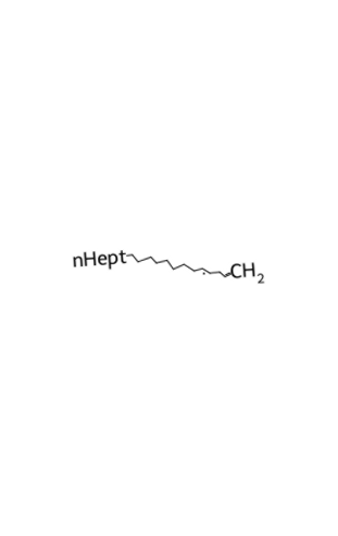 C=CC[CH]CCCCCCCCCCCCCCCC